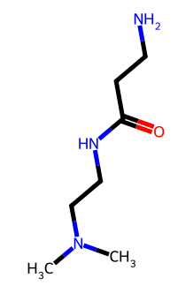 CN(C)CCNC(=O)CCN